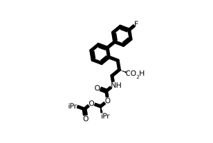 CC(C)C(=O)O[C@@H](OC(=O)NC[C@H](Cc1ccccc1-c1ccc(F)cc1)C(=O)O)C(C)C